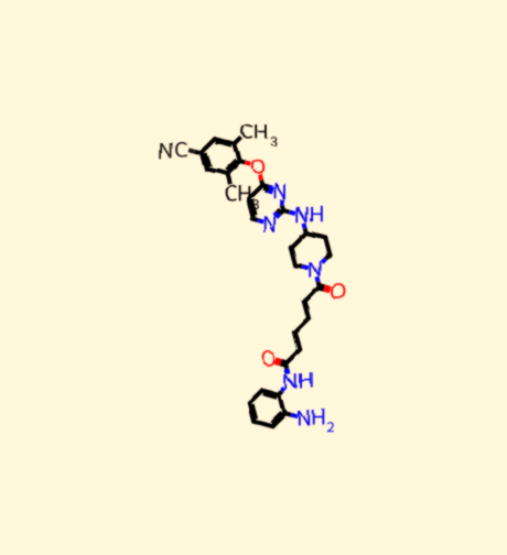 Cc1cc(C#N)cc(C)c1Oc1ccnc(NC2CCN(C(=O)CCCCC(=O)Nc3ccccc3N)CC2)n1